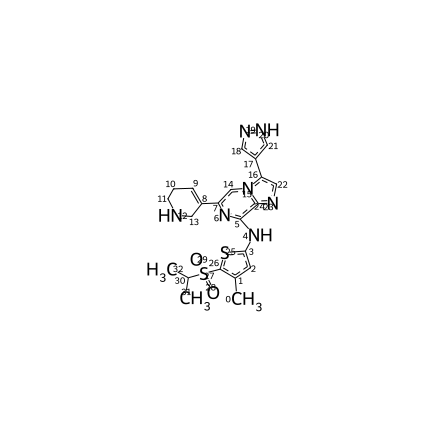 Cc1cc(Nc2nc(C3=CCCNC3)cn3c(-c4cn[nH]c4)cnc23)sc1S(=O)(=O)C(C)C